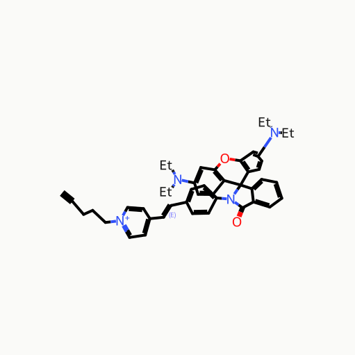 C#CCCC[n+]1ccc(/C=C/c2ccc(N3C(=O)c4ccccc4C34c3ccc(N(CC)CC)cc3Oc3cc(N(CC)CC)ccc34)cc2)cc1